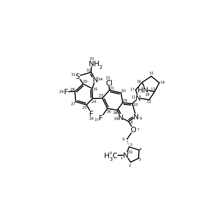 CN1CCC[C@H]1COc1nc(N2CC3CCC(C2)N3)c2cc(Cl)c(-c3c(F)cc(F)c4sc(N)nc34)c(F)c2n1